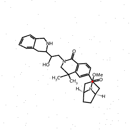 COC1C[C@H]2CC[C@@H](C1)N2C(=O)c1ccc2c(c1)C(C)(C)CN(CC(O)C1Cc3ccccc3CN1)C2=O